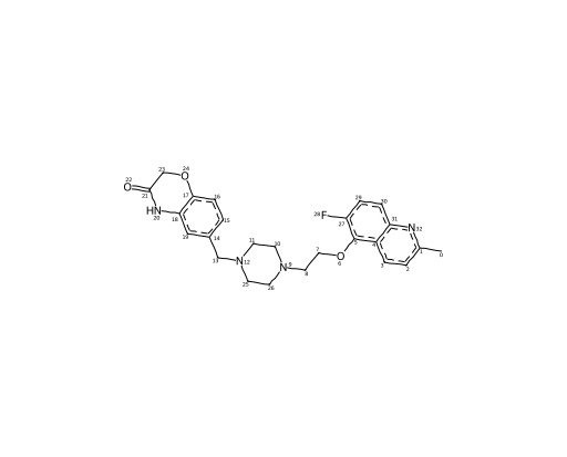 Cc1ccc2c(OCCN3CCN(Cc4ccc5c(c4)NC(=O)CO5)CC3)c(F)ccc2n1